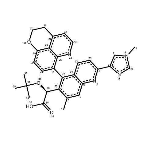 Cc1cc2nc(-c3cn(C)cn3)ccc2c(-c2ccc3c4c(ccnc24)CCO3)c1[C@H](OC(C)(C)C)C(=O)O